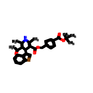 CC(=O)C1=C(C)NC(C)=C(C(=O)OCc2ccc(C(=O)OC(C)(C)C)cc2)C1c1csc2ccccc12